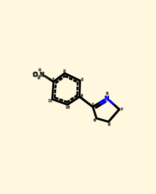 O=[N+]([O-])c1ccc(C2=NCCC2)cc1